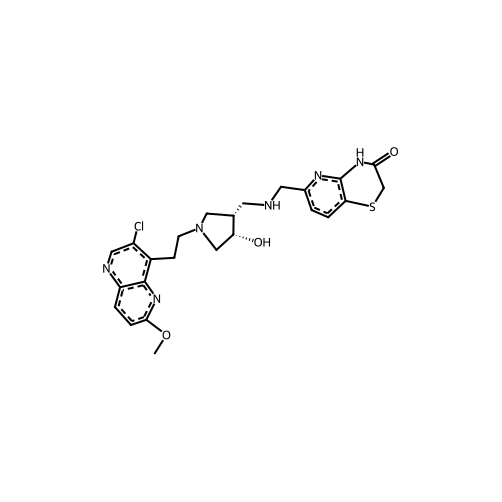 COc1ccc2ncc(Cl)c(CCN3C[C@H](CNCc4ccc5c(n4)NC(=O)CS5)[C@H](O)C3)c2n1